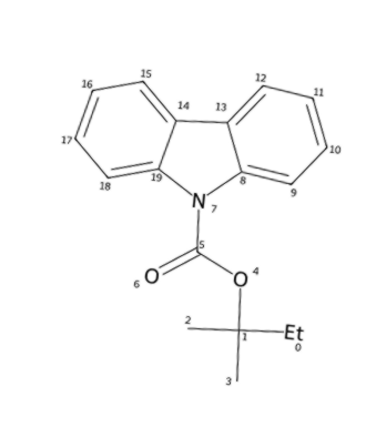 CCC(C)(C)OC(=O)n1c2ccccc2c2ccccc21